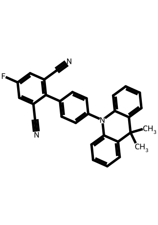 CC1(C)c2ccccc2N(c2ccc(-c3c(C#N)cc(F)cc3C#N)cc2)c2ccccc21